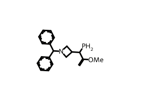 C=C(OC)C(P)C1CN(C(c2ccccc2)c2ccccc2)C1